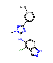 COc1cccc(-c2nc(Nc3ccc4[nH]ncc4c3Cl)n(C)n2)c1